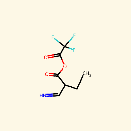 CCC(C=N)C(=O)OC(=O)C(F)(F)F